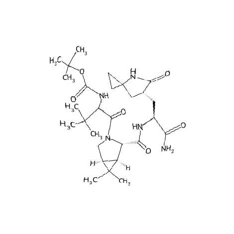 CC(C)(C)OC(=O)NC(C(=O)N1C[C@H]2[C@@H]([C@H]1C(=O)N[C@@H](C[C@@H]1CC3(CC3)NC1=O)C(N)=O)C2(C)C)C(C)(C)C